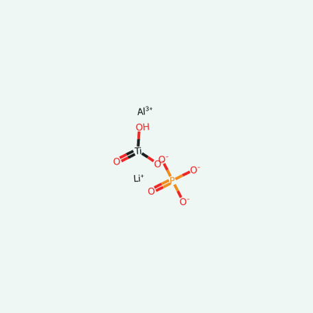 O=P([O-])([O-])[O-].[Al+3].[Li+].[O]=[Ti]([O-])[OH]